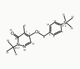 Cc1c(OCc2ccc([Si](C)(C)C)cc2)cnn(C(C)(C)C)c1=O